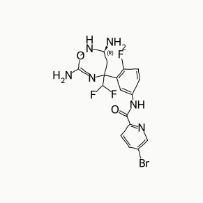 NC1=NC(c2cc(NC(=O)c3ccc(Br)cn3)ccc2F)(C(F)F)C[C@H](N)NO1